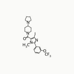 Cn1c(-c2cccc(OC(F)(F)F)c2)nc(I)c1C(=O)N1CCC(N2CCCC2)CC1